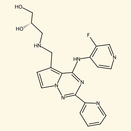 OC[C@@H](O)CNCc1ccn2nc(-c3ccccn3)nc(Nc3ccncc3F)c12